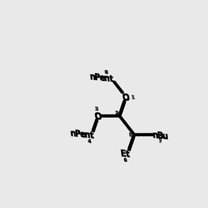 CCCCCOC(OCCCCC)C(CC)CCCC